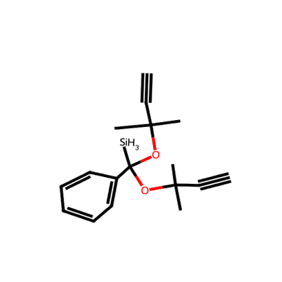 C#CC(C)(C)OC([SiH3])(OC(C)(C)C#C)c1ccccc1